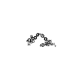 C=C1CCC(N2C(=O)c3ccc(N4CC[C@H](CN5CCC(c6ccc(Nc7nc(N8CCN(C)CC8)cnc7C(N)=O)cc6)CC5)C4)cc3C2=O)C(=O)N1